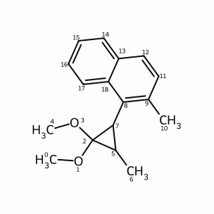 COC1(OC)C(C)C1c1c(C)ccc2ccccc12